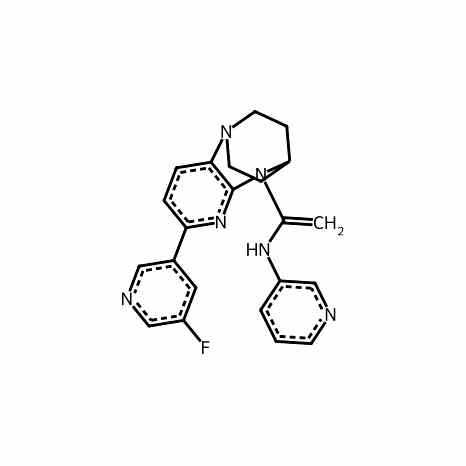 C=C(Nc1cccnc1)N1c2nc(-c3cncc(F)c3)ccc2N2CCC1CC2